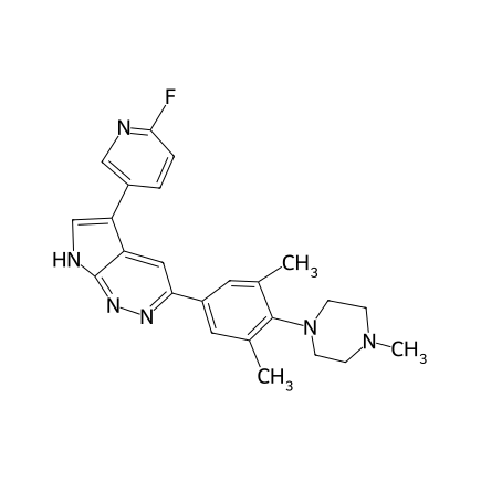 Cc1cc(-c2cc3c(-c4ccc(F)nc4)c[nH]c3nn2)cc(C)c1N1CCN(C)CC1